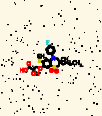 CCCC[C@@]1(C)CN(c2ccc(F)cc2)c2cc(SC)c(OC[C@H](O)C(=O)O)cc2S(=O)(=O)C1